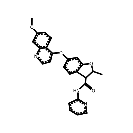 COc1ccc2c(Oc3ccc4c(c3)OC(C)C4C(=O)Nc3ccccn3)ccnc2c1